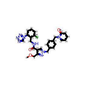 COCc1nn(Cc2ccc(Cn3ccccc3=O)cc2)cc1C(=O)NCc1c(F)cccc1-n1cnnn1